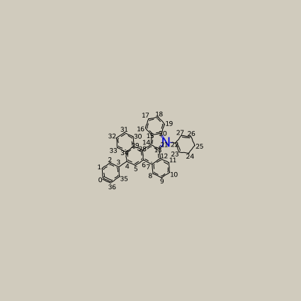 c1ccc(-c2cc3c4ccccc4c4c(c5ccccc5n4C4=CCCC=C4)c3c3ccccc23)cc#1